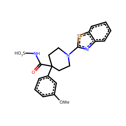 COc1cccc(C2(C(=O)NS(=O)(=O)O)CCN(c3nc4ccccc4s3)CC2)c1